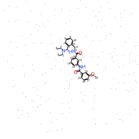 CCN(CC)Cc1ccccc1CNC(=O)c1cccc(NC(=O)c2cccc(OC)c2)c1